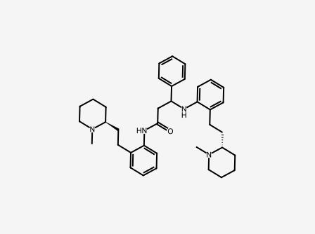 CN1CCCC[C@H]1CCc1ccccc1NC(=O)CC(Nc1ccccc1CC[C@@H]1CCCCN1C)c1ccccc1